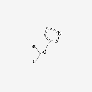 ClC(Br)Oc1cccnc1